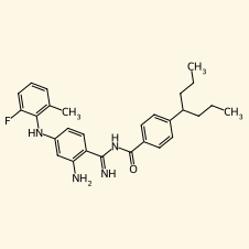 CCCC(CCC)c1ccc(C(=O)NC(=N)c2ccc(Nc3c(C)cccc3F)cc2N)cc1